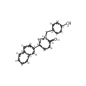 N#Cc1ccc(Cn2nc(-c3ccc4ccccc4c3)ccc2=O)cc1